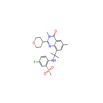 Cc1cc(C(C)(C)Nc2ccc(F)cc2S(C)(=O)=O)c2nc(C3CCOCC3)n(C)c(=O)c2c1